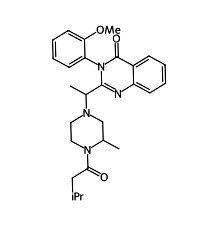 COc1ccccc1-n1c(C(C)N2CCN(C(=O)CC(C)C)C(C)C2)nc2ccccc2c1=O